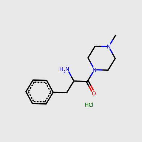 CN1CCN(C(=O)C(N)Cc2ccccc2)CC1.Cl